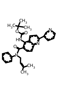 CC(C)=CCN(C(=O)c1ccc2nc(-c3cccnc3)ccc2c1NC(=O)OC(C)(C)C)c1ccccc1